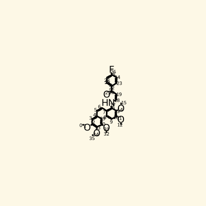 COc1cc(/C=C\c2ccc(OC)c(OC)c2N/C=C\C(=O)c2ccc(F)cc2)cc(OC)c1OC